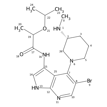 CN[C@@H]1CCCN(c2c(Br)cnc3[nH]cc(NC(=O)C(C)OC(C)C)c23)C1